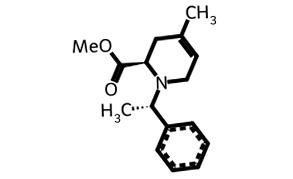 COC(=O)[C@H]1CC(C)=CCN1[C@@H](C)c1ccccc1